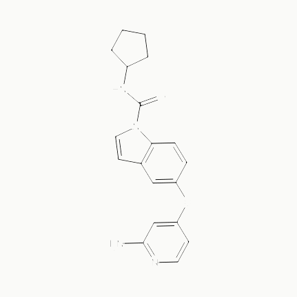 Nc1cc(Oc2ccc3c(ccn3C(=O)NC3CCCC3)c2)ccn1